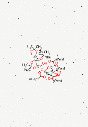 CCCCCCCC(=O)O[C@@H]1[C@H](OC(O)[C@H]2OC(C)(C)O[C@@H]2[C@@H](O[Si](C)(C)C(C)(C)C)[C@@H]2COC(C)(C)O2)O[C@H](C(O)C(=O)CCCCC)[C@](O)(C(=O)CCCCC)[C@@]1(O)C(=O)CCCCC